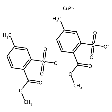 COC(=O)c1ccc(C)cc1S(=O)(=O)[O-].COC(=O)c1ccc(C)cc1S(=O)(=O)[O-].[Cu+2]